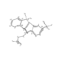 C[SiH](C)CCn1c2c(c3cc(C(C)(C)C)ccc31)C(C)(C)c1ccccc1-2